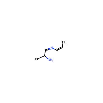 C/C=C\N=C/C(N)CC